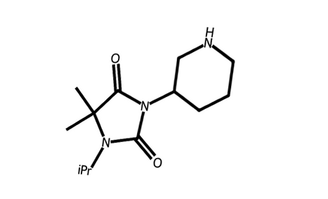 CC(C)N1C(=O)N(C2CCCNC2)C(=O)C1(C)C